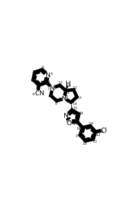 N#Cc1cccnc1N1CCN2[C@@H](CC[C@@H]2c2cc(-c3cccc(Cl)c3)on2)C1